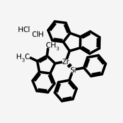 CC1=C(C)[CH]([Zr]([CH]2c3ccccc3-c3ccccc32)=[Si](c2ccccc2)c2ccccc2)c2ccccc21.Cl.Cl